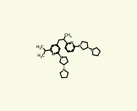 CC(C)c1cc(CC(C)c2cccc(N3CC[C@@H](N4CCCC4)C3)n2)cc(N2CC[C@H](N3CCCC3)C2)n1